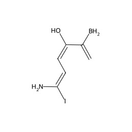 BC(=C)/C(O)=C\C=C(/N)I